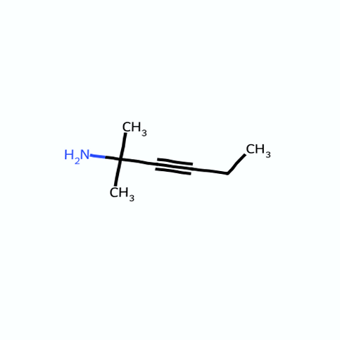 CCC#CC(C)(C)N